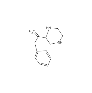 C=C(Cc1ccccc1)C1CNCCN1